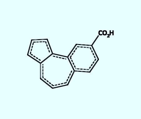 O=C(O)c1ccc2cccc3cccc-3c2c1